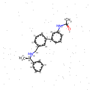 CC(=O)Nc1cccc(-c2cccc(CN[C@H](C)c3ccccc3)c2)c1